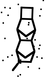 CN1CC2CC1C1C3CC(C4CCC43)C21